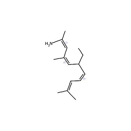 CCC(/C=C\C=C(C)C)/C=C(C)\C=C(\C)N